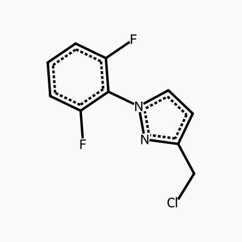 Fc1cccc(F)c1-n1ccc(CCl)n1